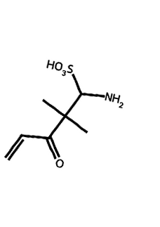 C=CC(=O)C(C)(C)C(N)S(=O)(=O)O